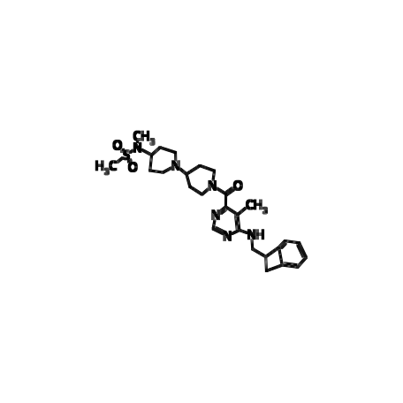 Cc1c(NCC2Cc3ccccc32)ncnc1C(=O)N1CCC(N2CCC(N(C)S(C)(=O)=O)CC2)CC1